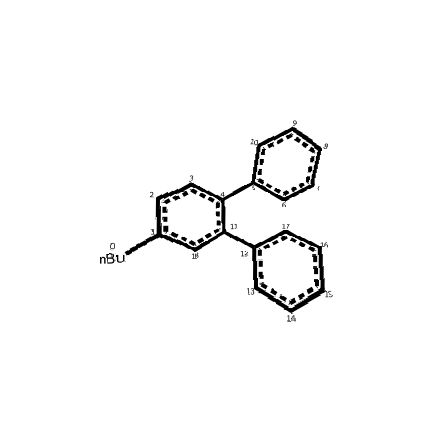 CCCCc1ccc(-c2ccccc2)c(-c2ccccc2)c1